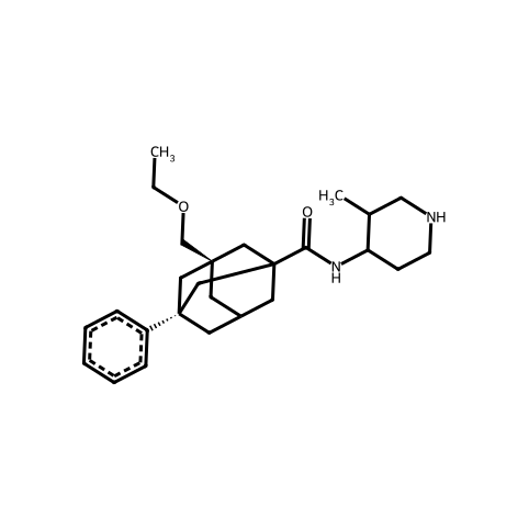 CCOC[C@]12CC3CC(C(=O)NC4CCNCC4C)(C1)C[C@@](c1ccccc1)(C3)C2